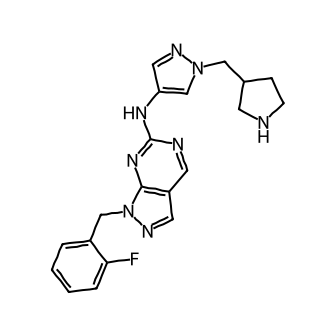 Fc1ccccc1Cn1ncc2cnc(Nc3cnn(CC4CCNC4)c3)nc21